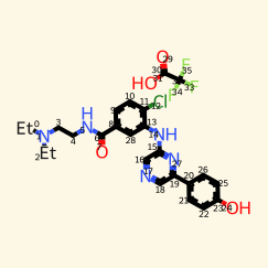 CCN(CC)CCNC(=O)c1ccc(Cl)c(Nc2cncc(-c3ccc(O)cc3)n2)c1.O=C(O)C(F)(F)F